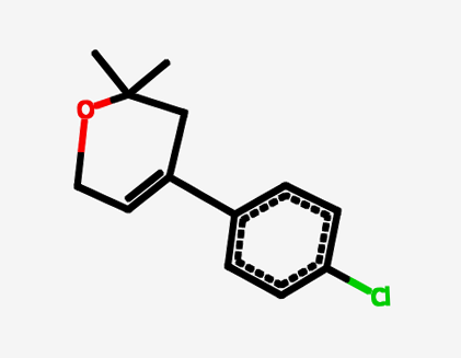 CC1(C)CC(c2ccc(Cl)cc2)=CCO1